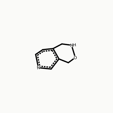 c1cc2c(cn1)CONC2